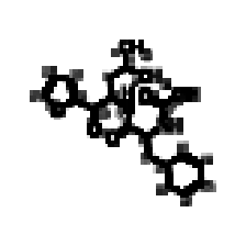 CC(C)CC(NC(=O)C(Cc1ccccc1)NC(=O)O)C(=O)c1ccco1